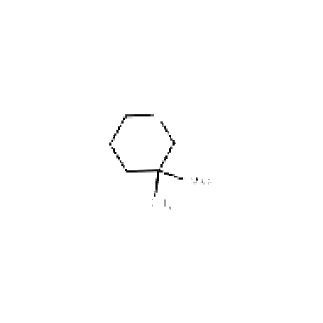 COC1(C)CCCOC1